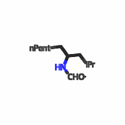 CCCCCCC(CC(C)C)N[C]=O